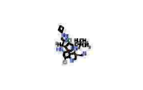 [2H]C(Nc1cc(Cl)c2ncc(C#N)c(NCC(C)(C)C)c2c1)(c1cn(C23CC(C2)C3)nn1)c1ccccc1Cl